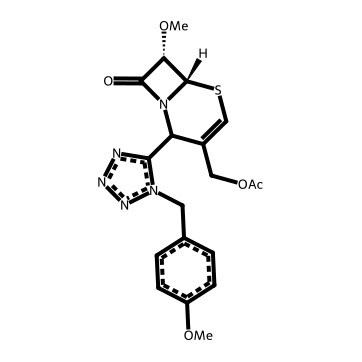 COc1ccc(Cn2nnnc2C2C(COC(C)=O)=CS[C@H]3[C@@H](OC)C(=O)N23)cc1